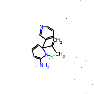 C=C(C)C1(c2cccnc2)C=CC=C(N)N1Cl